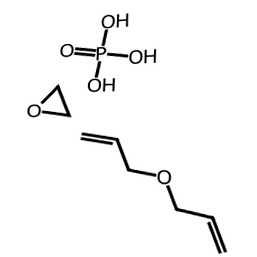 C1CO1.C=CCOCC=C.O=P(O)(O)O